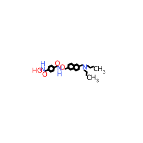 CCCCN(CCCC)Cc1ccc2cc(CONC(=O)c3ccc(C(=O)NO)cc3)ccc2c1